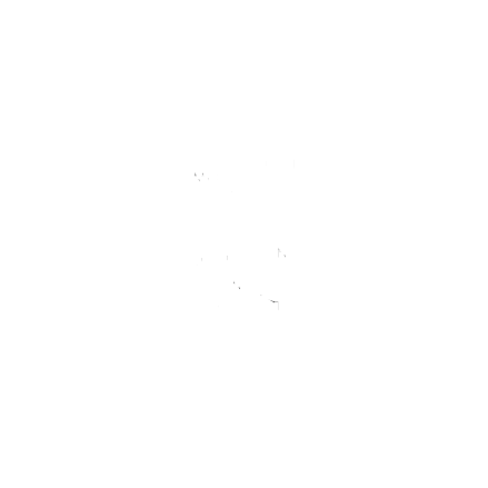 COc1cc2c(cc1OI)N=C[C@@H]1CCCN1C2=O